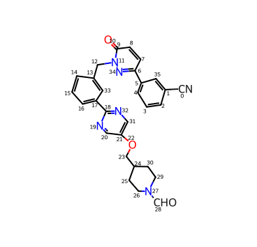 N#Cc1cccc(-c2ccc(=O)n(Cc3cccc(-c4ncc(OCC5CCN(C=O)CC5)cn4)c3)n2)c1